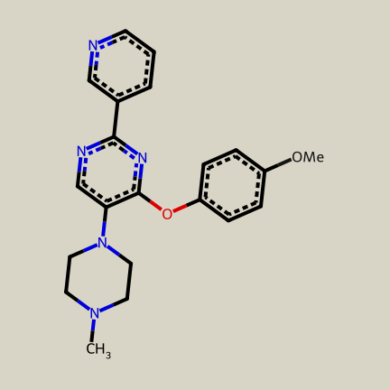 COc1ccc(Oc2nc(-c3cccnc3)ncc2N2CCN(C)CC2)cc1